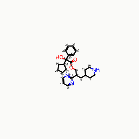 O=C(OCC(CC1CCNCC1)c1ncccn1)C(O)(c1ccccc1)C1CCCC1